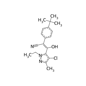 CCn1nc(C)c(Cl)c1C(O)=C(C#N)c1ccc(C(C)(C)C)cc1